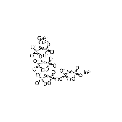 O=S(=O)([O-])[Se]S(=O)(=O)[O-].O=S(=O)([O-])[Se]S(=O)(=O)[O-].O=S(=O)([O-])[Se]S(=O)(=O)[O-].O=S(=O)([O-])[Se]S(=O)(=O)[O-].[Cu+2].[Ga+3].[In+3]